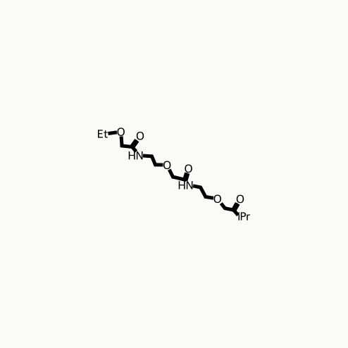 CCOCC(=O)NCCOCC(=O)NCCOCC(=O)C(C)C